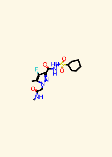 CNC(=O)Cn1nc(C(=O)NNS(=O)(=O)C2CCCCC2)c(F)c1C